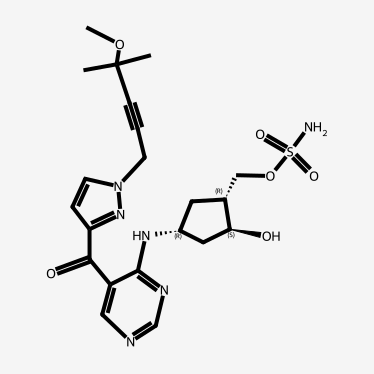 COC(C)(C)C#CCn1ccc(C(=O)c2cncnc2N[C@@H]2C[C@H](COS(N)(=O)=O)[C@@H](O)C2)n1